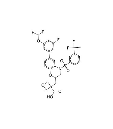 O=C(O)C1(CC2CN(S(=O)(=O)c3cccc(C(F)(F)F)c3)c3cc(-c4cc(F)cc(OC(F)F)c4)ccc3O2)COC1